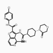 N#Cc1nccc2oc(C(=O)Nc3ccc(Cl)cn3)c(NC(=O)[C@H]3CC[C@H](N4CCOCC4=O)CC3)c12